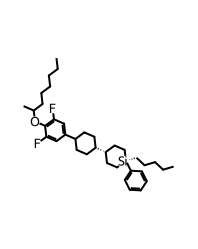 CCCCCCC(C)Oc1c(F)cc(C2CCC([C@H]3CC[Si@](CCCCC)(c4ccccc4)CC3)CC2)cc1F